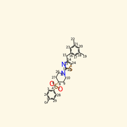 Cc1ccc(S(=O)(=O)C2CCN(c3nc(Cc4cc(C)cc(C)c4)cs3)CC2)cc1